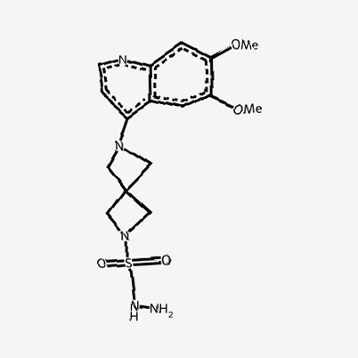 COc1cc2nccc(N3CC4(C3)CN(S(=O)(=O)NN)C4)c2cc1OC